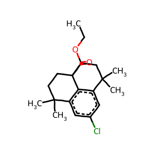 CCOC(=O)C12CCC(C)(C)c3cc(Cl)cc(c31)C(C)(C)CC2